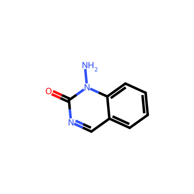 Nn1c(=O)ncc2ccccc21